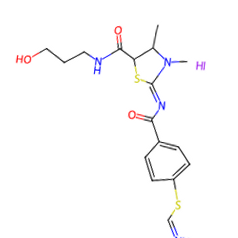 CC1C(C(=O)NCCCO)SC(=NC(=O)c2ccc(SC=N)cc2)N1C.I